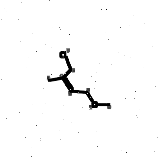 COCC=C(C)CCl